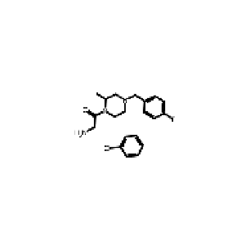 CC1CN(Cc2ccc(F)cc2)CCN1C(=O)CN.Clc1ccccc1